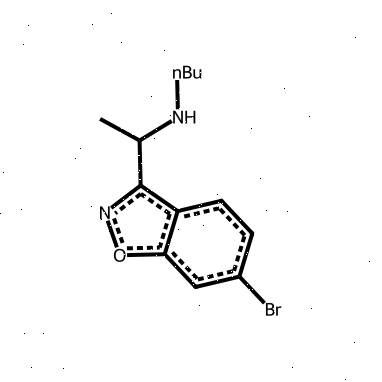 CCCCNC(C)c1noc2cc(Br)ccc12